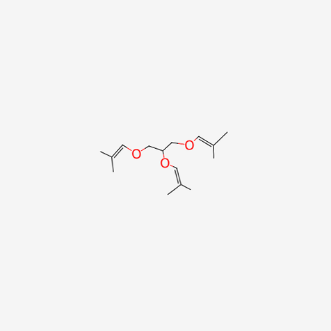 CC(C)=COCC(COC=C(C)C)OC=C(C)C